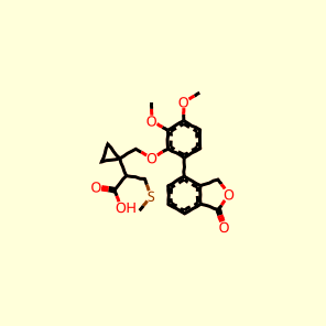 COc1ccc(-c2cccc3c2COC3=O)c(OCC2(C(CSC)C(=O)O)CC2)c1OC